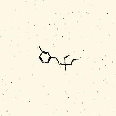 CCCC(C)(CC)OCc1cccc(Cl)c1